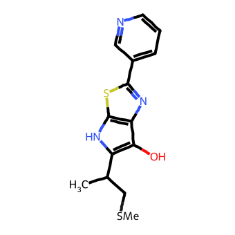 CSCC(C)c1[nH]c2sc(-c3cccnc3)nc2c1O